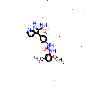 COc1ccc(C)cc1NC(=O)Nc1ccc(-c2c(C(N)=O)[nH]c3ncccc23)cc1